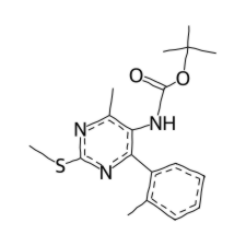 CSc1nc(C)c(NC(=O)OC(C)(C)C)c(-c2ccccc2C)n1